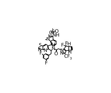 Cn1nc(NS(C)(=O)=O)c2cccc(-c3cc4scnc4nc3C(Cc3cc(F)cc(F)c3)NC(=O)Cn3nc(C(F)(F)F)c4c3C(F)(F)[C@@H]3C#C[C@H]43)c21